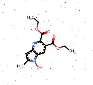 CCOC(=O)c1cc2c(cc(C)n2O)nc1C(=O)OCC